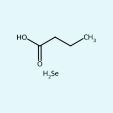 CCCC(=O)O.[SeH2]